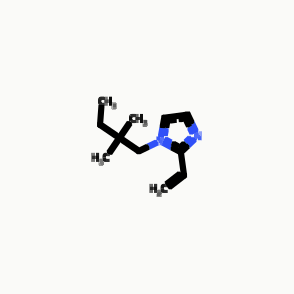 C=Cc1nccn1CC(C)(C)CC